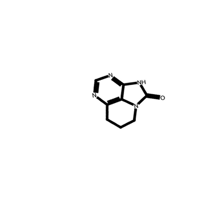 O=c1[nH]c2ncnc3c2n1CCC3